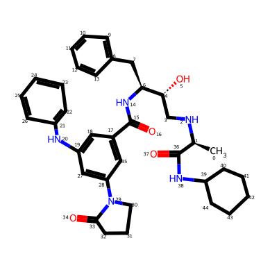 C[C@H](NC[C@@H](O)[C@H](Cc1ccccc1)NC(=O)c1cc(Nc2ccccc2)cc(N2CCCC2=O)c1)C(=O)NC1CCCCC1